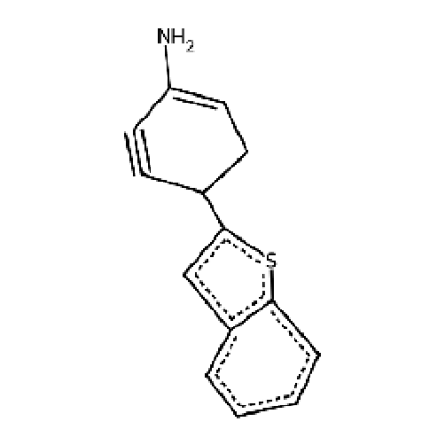 NC1=CCC(c2cc3ccccc3s2)C#C1